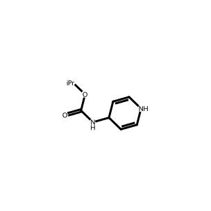 CC(C)OC(=O)N[C]1C=CNC=C1